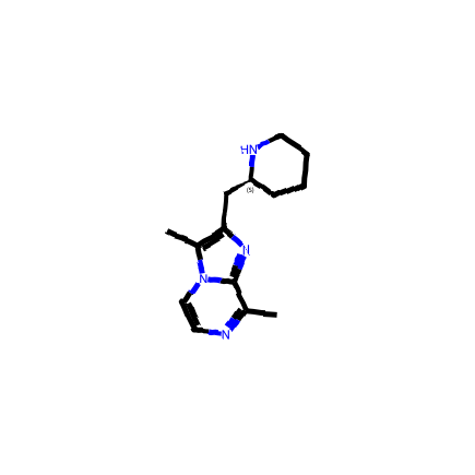 Cc1nccn2c(C)c(C[C@@H]3CCCCN3)nc12